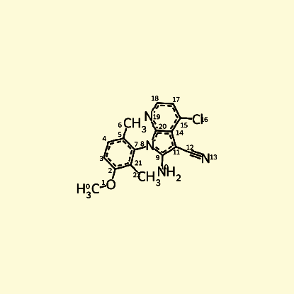 COc1ccc(C)c(-n2c(N)c(C#N)c3c(Cl)ccnc32)c1C